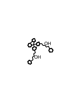 OC(CCc1ccccc1)CCc1ccc(C2(c3ccc(CCC(O)CCc4ccccc4)cc3)c3ccccc3-c3ccccc32)cc1